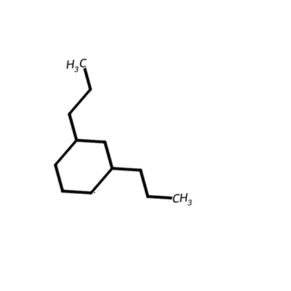 CCCC1[CH]CCC(CCC)C1